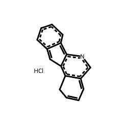 C1=CCc2c3c(ncc2=C1)=c1ccccc1=C3.Cl